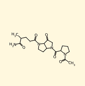 CC(=O)N1CCCC1C(=O)N1CC(=O)C2C1CCN2C(=O)[CH]CC(C)C(N)=O